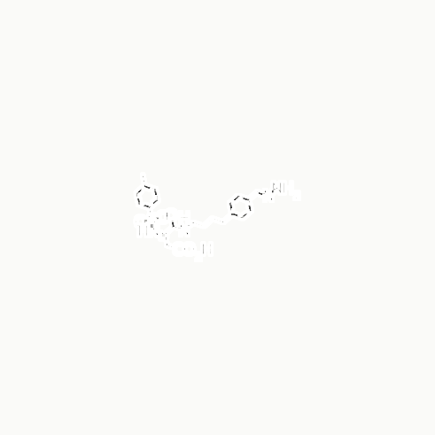 Cc1ccc(S(=O)(=O)N[C@H](CC(=O)O)C(=O)NCCCCc2ccc(C=NN)cc2)cc1